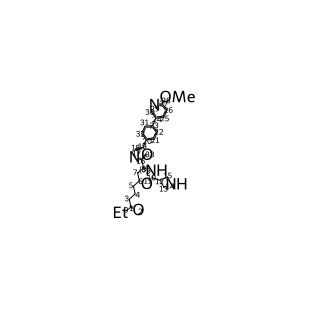 CCC(=O)CCCCC[C@H](NC(=O)C1CNC1)c1ncc(-c2ccc(-c3ccc(OC)nc3)cc2)o1